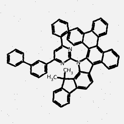 CC1(C)c2ccccc2-c2ccc3c4c5ccccc5c5c6ccccc6c6ccccc6c5c4n(-c4nc(-c5ccccc5)cc(-c5cccc(-c6ccccc6)c5)n4)c3c21